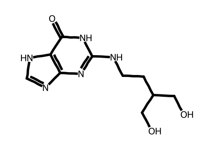 O=c1[nH]c(NCCC(CO)CO)nc2nc[nH]c12